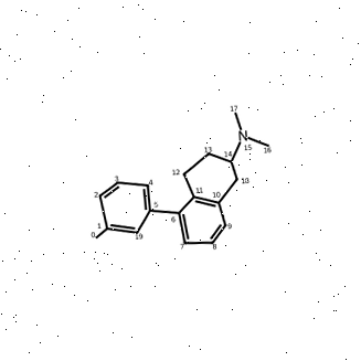 Cc1cccc(-c2cccc3c2CCC(N(C)C)C3)c1